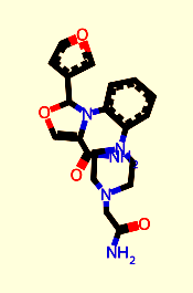 NC(=O)CN1CCN(c2ccccc2N2C(C(N)=O)=COC2c2ccoc2)CC1